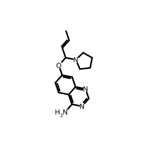 C/C=C/C(Oc1ccc2c(N)ncnc2c1)N1CCCC1